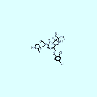 CC1(C)[C@@H]2[C@@H](C(=O)N[C@H](C=O)C[C@@H]3CCNC3=O)N(C(=O)COc3ccc(Cl)cc3Cl)C[C@@H]21